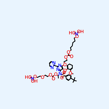 COC1=CCCC=C1Oc1c(OCCOC(=O)OCCCCCCON(O)O)nc(-c2ncccn2)nc1N(C(C)OC(=O)OCCOCCON(O)O)S(=O)(=O)c1ccc(C(C)(C)C)cc1